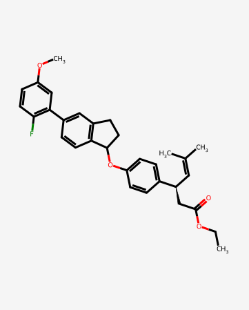 CCOC(=O)C[C@H](C=C(C)C)c1ccc(OC2CCc3cc(-c4cc(OC)ccc4F)ccc32)cc1